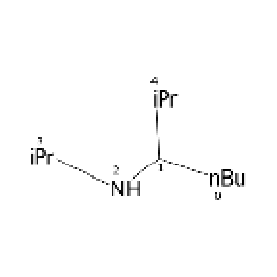 CCCCC(NC(C)C)C(C)C